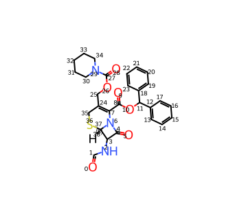 O=CNC1C(=O)N2C(C(=O)OC(c3ccccc3)c3ccccc3)=C(COC(=O)N3CCCCC3)CS[C@@H]12